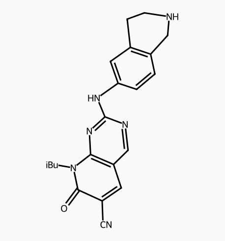 CCC(C)n1c(=O)c(C#N)cc2cnc(Nc3ccc4c(c3)CCNC4)nc21